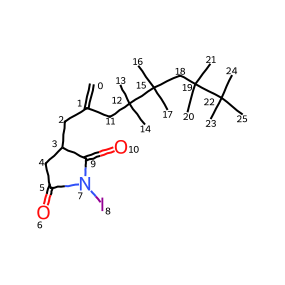 C=C(CC1CC(=O)N(I)C1=O)CC(C)(C)C(C)(C)CC(C)(C)C(C)(C)C